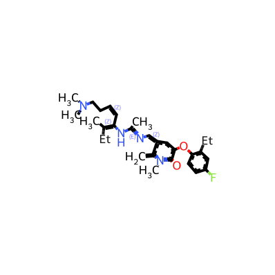 C=c1/c(=C\N=C(/C)NC(/C=C\CCN(C)C)=C(/C)CC)cc(Oc2ccc(F)cc2CC)c(=O)n1C